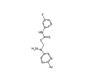 CC(=O)c1ccc(N(N)CSC(=S)Nc2cccc(F)c2)cn1